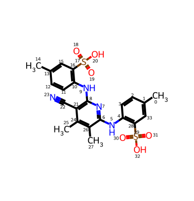 Cc1ccc(Nc2nc(Nc3ccc(C)cc3S(=O)(=O)O)c(C#N)c(C)c2C)c(S(=O)(=O)O)c1